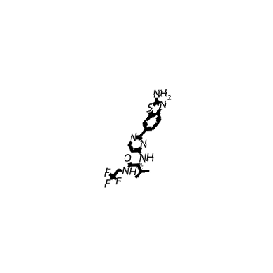 CC(C)[C@@H](Nc1ccnc(-c2ccc3nc(N)sc3c2)n1)C(=O)NCC(F)(F)F